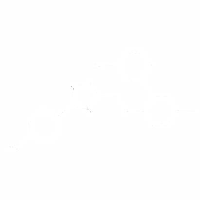 Cc1ccc(OCc2nc(-c3ccc(C=O)cc3)no2)c(-c2cccc(Cl)c2)c1